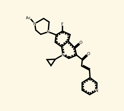 CC(=O)N1CCN(c2cc3c(cc2F)c(=O)c(C(=O)C=Cc2cccnc2)cn3C2CC2)CC1